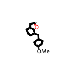 COc1ccc(Cc2cccc3c[c]oc23)cc1